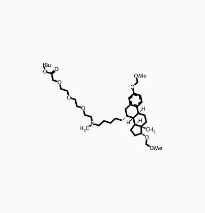 COCOc1ccc2c(c1)C[C@@H](CCCCCN(C)CCOCCOCCOCC(=O)OC(C)(C)C)[C@@H]1[C@@H]2CC[C@]2(C)[C@@H](OCOC)CC[C@@H]12